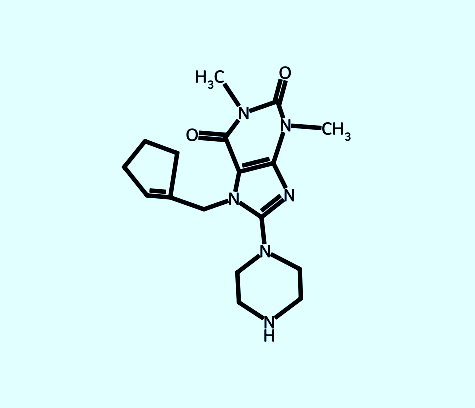 Cn1c(=O)c2c(nc(N3CCNCC3)n2CC2=CCCC2)n(C)c1=O